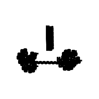 O=C(NCCCCCCCCCCCCNC(=O)[C@H](OS(=O)(=O)[O-])[C@H](OS(=O)(=O)[O-])[C@@H](O[C@H]1O[C@@H](COS(=O)(=O)[O-])[C@H](OS(=O)(=O)[O-])[C@@H](OS(=O)(=O)[O-])[C@@H]1OS(=O)(=O)[O-])[C@H](COS(=O)(=O)[O-])OS(=O)(=O)[O-])[C@@H](OS(=O)(=O)[O-])[C@H](OS(=O)(=O)[O-])[C@@H](O[C@H]1O[C@@H](COS(=O)(=O)[O-])[C@H](OS(=O)(=O)[O-])[C@@H](OS(=O)(=O)[O-])[C@@H]1OS(=O)(=O)[O-])[C@H](COS(=O)(=O)[O-])OS(=O)(=O)[O-].[Na+].[Na+].[Na+].[Na+].[Na+].[Na+].[Na+].[Na+].[Na+].[Na+].[Na+].[Na+].[Na+].[Na+].[Na+].[Na+]